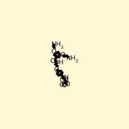 CS(=O)(=O)c1nnc(-c2ccc(OCCNC(=O)c3cc(OCCN)cc(OCCN)c3)cc2)o1